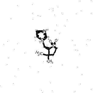 CC1(C)CCS(=O)(=O)C1=Cn1ccnc1